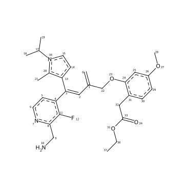 C=C(/C=C(/c1ccnc(CN)c1F)c1ccn(C(C)C)c1C)COc1cc(OC)ccc1CC(=O)OCC